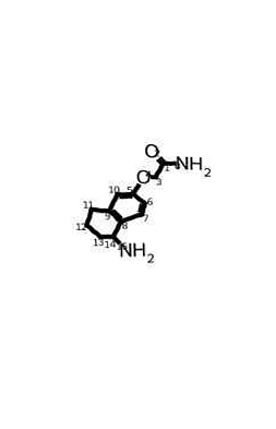 NC(=O)COc1ccc2c(c1)CCCC2N